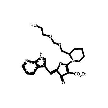 CCOC(=O)C1=C(N2CCCCC2COCOCCO)O/C(=C\c2c[nH]c3ncccc23)C1=O